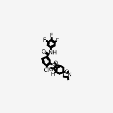 CC1=NO[C@@]2(C1)CC1CC[C@@H](C2)C1S(=O)(=O)c1cc(C(=O)Nc2cc(F)c(F)c(F)c2)ccc1Cl